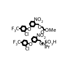 CC(C)N(OCc1cc(Oc2ccc(C(F)(F)F)cc2Cl)ccc1[N+](=O)[O-])S(=O)(=O)O.COC(=O)COCc1cc(Oc2ccc(C(F)(F)F)cc2Cl)ccc1[N+](=O)[O-]